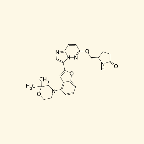 CC1(C)CN(c2cccc3oc(-c4cnc5ccc(OC[C@H]6CCC(=O)N6)nn45)cc23)CCO1